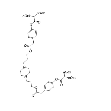 CCCCCCCCC(CCCCCC)C(=O)Oc1ccc(CC(=O)OCCCN2CCN(CCCOC(=O)Cc3ccc(OC(=O)C(CCCCCC)CCCCCCCC)cc3)CC2)cc1